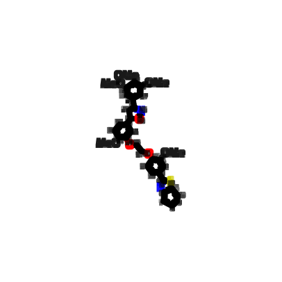 COc1cc(-c2nc3ccccc3s2)ccc1OCCOc1cc(C2CC(c3cc(OC)c(OC)c(OC)c3)=NO2)ccc1OC